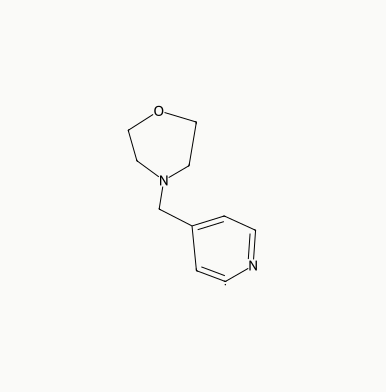 [c]1cc(CN2CCOCC2)ccn1